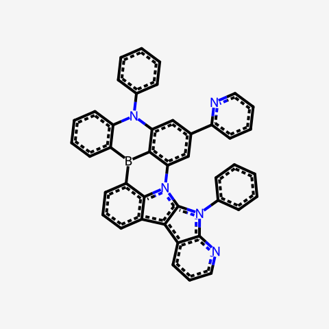 c1ccc(N2c3ccccc3B3c4c2cc(-c2ccccn2)cc4-n2c4c3cccc4c3c4cccnc4n(-c4ccccc4)c32)cc1